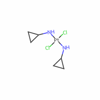 [Cl][Pt]([Cl])([NH]C1CC1)[NH]C1CC1